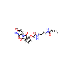 CCC(=O)NCCCCNC(=O)COc1cccc2c1C(=O)N(C1CCC(=O)NC1=O)C2=O